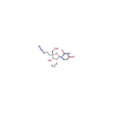 CO[C@H]1[C@H](n2ccc(=O)[nH]c2=O)O[C@@](CO)(CCN=[N+]=[N-])[C@H]1O